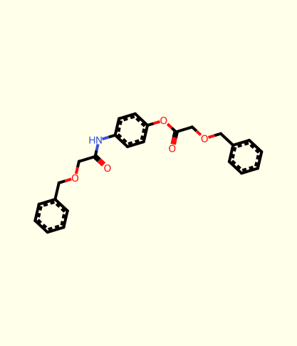 O=C(COCc1ccccc1)Nc1ccc(OC(=O)COCc2ccccc2)cc1